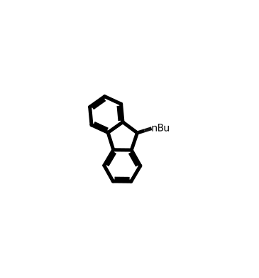 CCCCC1c2ccccc2-c2ccccc21